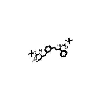 CC(C)(C)OC(=O)NC(CO)Cc1cccc(CCC(NC(=O)OC(C)(C)C)c2ccccc2)c1